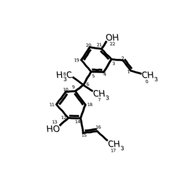 CC=Cc1cc(C(C)(C)c2ccc(O)c(C=CC)c2)ccc1O